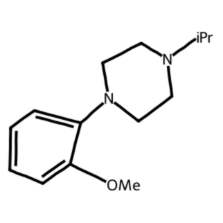 COc1ccccc1N1CCN(C(C)C)CC1